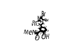 CNC(=O)c1cc(C(O)Cn2c(Br)nc(Br)c2Br)ccc1O